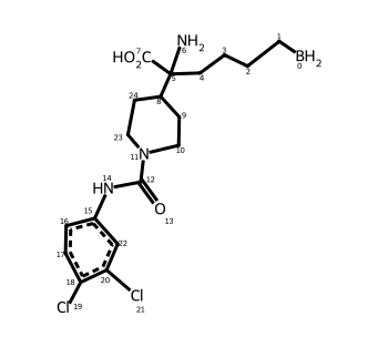 BCCCCC(N)(C(=O)O)C1CCN(C(=O)Nc2ccc(Cl)c(Cl)c2)CC1